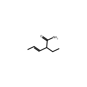 C/C=C/C(CC)C(N)=O